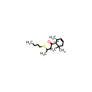 CCCCSC(C)CC(=O)[C@H]1[C@H](C)C=CCC1(C)C